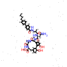 CCCCc1ccc(-c2ccc(C(=O)NCC(C)C(=O)N[C@@H](CCN)C(=O)N(C)[C@@H]3C(=O)N[C@@H](C)C(=O)N[C@H](C(=O)O)CC4=CCC(O)C(=C4)c4cc3ccc4O)cc2)cc1